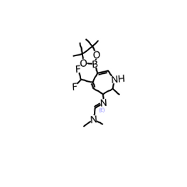 CC1NC=C(B2OC(C)(C)C(C)(C)O2)C(C(F)F)=CC1/N=C/N(C)C